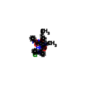 CCCCc1ccc(C[C@@H](CC(N)=O)N(CCC)C(=O)[C@H](CCCC(=O)OCc2ccccc2)NC(=O)c2cn(Cc3ccccc3Cl)c3ccccc23)cc1